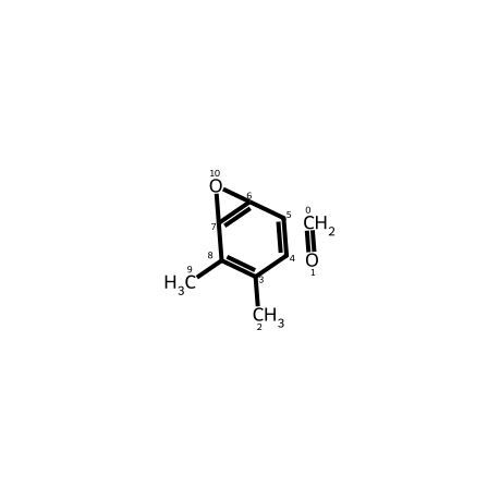 C=O.Cc1ccc2c(c1C)O2